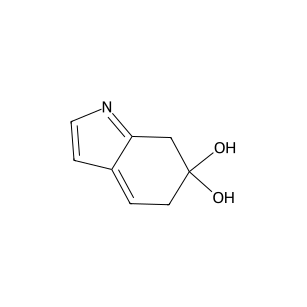 OC1(O)CC=C2C=CN=C2C1